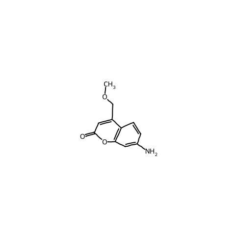 COCc1cc(=O)oc2cc(N)ccc12